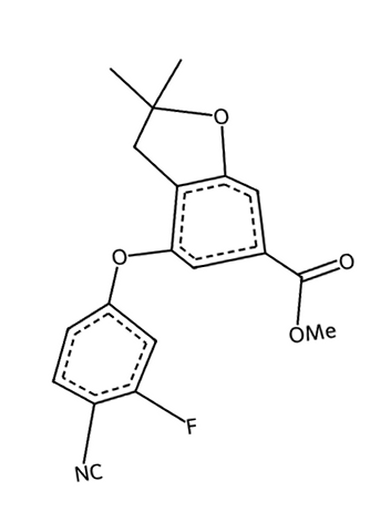 [C-]#[N+]c1ccc(Oc2cc(C(=O)OC)cc3c2CC(C)(C)O3)cc1F